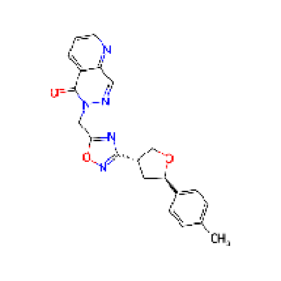 Cc1ccc([C@H]2C[C@H](c3noc(Cn4ncc5ncccc5c4=O)n3)CO2)cc1